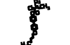 CCCCCOc1ccc(-c2ccc(OC(=O)C(Cl)C(C)CC)cc2)cc1